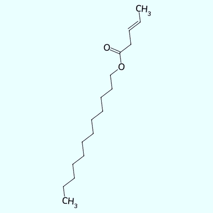 CC=CCC(=O)OCCCCCCCCCCCC